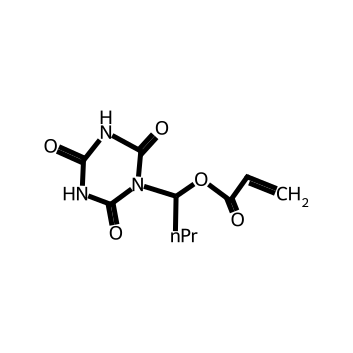 C=CC(=O)OC(CCC)n1c(=O)[nH]c(=O)[nH]c1=O